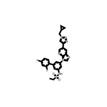 CCS(=O)(=O)Nc1cc(-c2ccc(F)cc2F)cc(-n2cnc3cc(-c4cn(CC5CC5)nn4)cnc32)c1